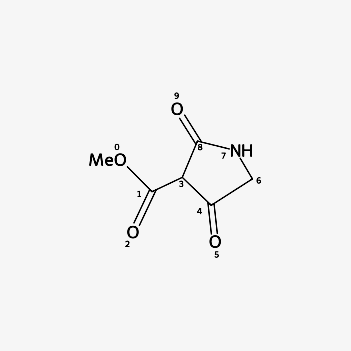 COC(=O)C1C(=O)CNC1=O